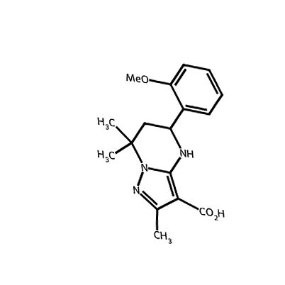 COc1ccccc1C1CC(C)(C)n2nc(C)c(C(=O)O)c2N1